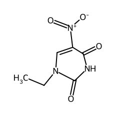 CCn1cc([N+](=O)[O-])c(=O)[nH]c1=O